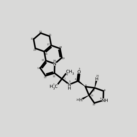 CC(C)(NC(=O)[C@H]1[C@@H]2CNC[C@@H]21)c1ccc2c3c(ccn12)CCCC3